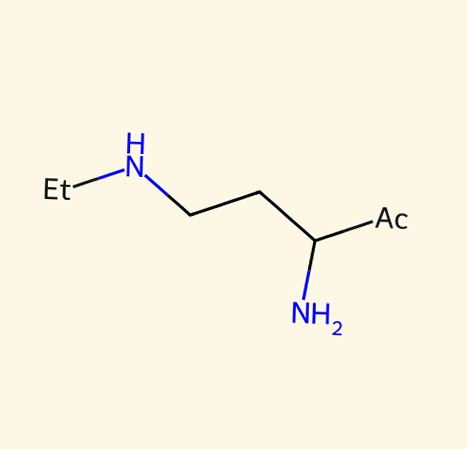 CCNCCC(N)C(C)=O